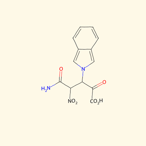 NC(=O)C(C(C(=O)C(=O)O)n1cc2ccccc2c1)[N+](=O)[O-]